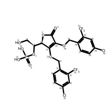 O=C1O[C@H]([C@H](CO)OP(=O)(O)O)C(OCc2ccc(Cl)cc2C(F)(F)F)=C1OCc1ccc(Cl)cc1C(F)(F)F